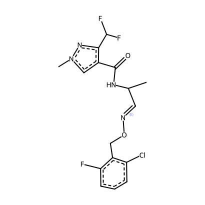 CC(/C=N/OCc1c(F)cccc1Cl)NC(=O)c1cn(C)nc1C(F)F